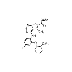 COC(=O)c1sc2ncnc(Nc3ccc(F)cc3O[C@H]3CCCC[C@@H]3OC)c2c1C